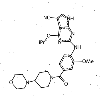 COc1cc(C(=O)N2CCC(N3CCOCC3)CC2)ccc1Nc1nc(OC(C)C)c2c(C#N)c[nH]c2n1